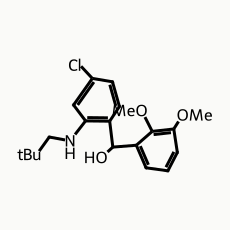 COc1cccc(C(O)c2ccc(Cl)cc2NCC(C)(C)C)c1OC